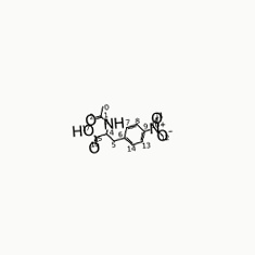 CC(=O)NC(Cc1ccc([N+](=O)[O-])cc1)C(=O)O